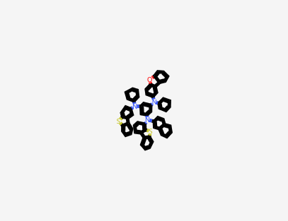 c1ccc(N(c2cc(N(c3ccccc3)c3ccc4sc5ccccc5c4c3)cc(N(c3ccc4ccccc4c3)c3cccc4c3sc3ccccc34)c2)c2ccc3oc4ccccc4c3c2)cc1